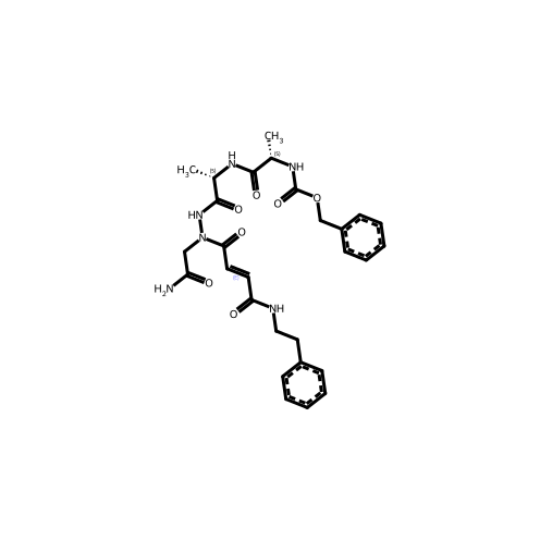 C[C@H](NC(=O)OCc1ccccc1)C(=O)N[C@@H](C)C(=O)NN(CC(N)=O)C(=O)/C=C/C(=O)NCCc1ccccc1